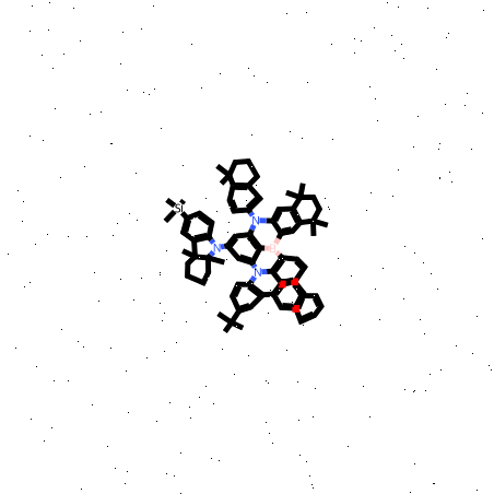 CC(C)(C)c1ccc(N2c3cc(-c4ccccc4)ccc3B3c4cc5c(cc4N(c4ccc6c(c4)CCCC6(C)C)c4cc(N6c7ccc([Si](C)(C)C)cc7C7(C)CCCCC67C)cc2c43)C(C)(C)CCC5(C)C)c(-c2ccccc2)c1